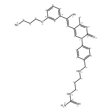 CCC/C(=C\c1cn(-c2ccc(CNCCCNC(=N)N)cc2)c(=O)nc1C)c1cccc(OCCCC#N)c1